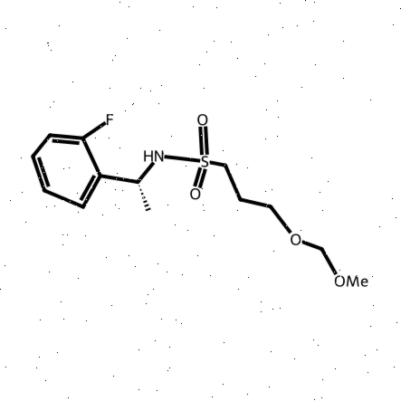 COCOCCCS(=O)(=O)N[C@H](C)c1ccccc1F